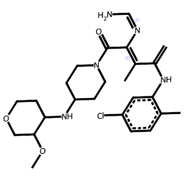 C=C(Nc1cc(Cl)ccc1C)/C(C)=C(\N=C/N)C(=O)N1CCC(NC2CCOCC2OC)CC1